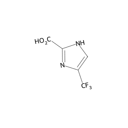 O=C(O)c1nc(C(F)(F)F)c[nH]1